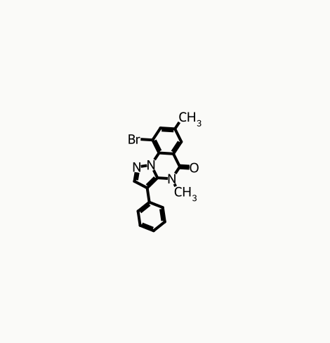 Cc1cc(Br)c2c(c1)c(=O)n(C)c1c(-c3ccccc3)cnn21